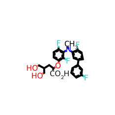 CN(c1cc(-c2cccc(F)c2)ccc1F)c1c(F)ccc(OC(CC(CO)CO)C(=O)O)c1F